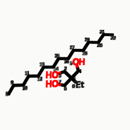 CCC(CO)(CO)CO.CCCCCCCCCCCCCCC